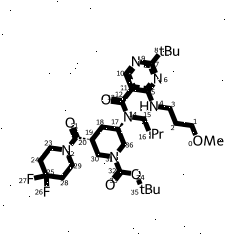 COCCCNc1nc(C(C)(C)C)ncc1C(=O)N(CC(C)C)[C@H]1C[C@@H](C(=O)N2CCC(F)(F)CC2)CN(C(=O)OC(C)(C)C)C1